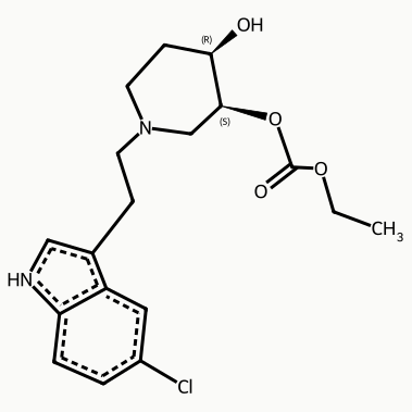 CCOC(=O)O[C@H]1CN(CCc2c[nH]c3ccc(Cl)cc23)CC[C@H]1O